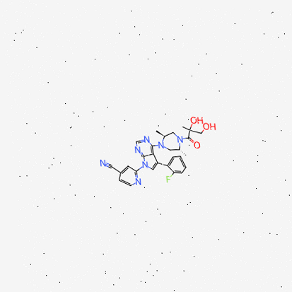 C[C@@H]1CN(c2ncnc3c2c(-c2ccccc2F)cn3-c2cc(C#N)ccn2)[C@@H](C)CN1C(=O)C(C)(O)CO